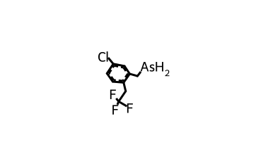 FC(F)(F)Cc1ccc(Cl)cc1C[AsH2]